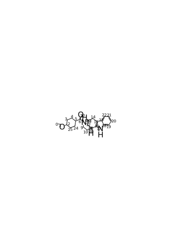 COC1CCC(C(=O)N2CC[C@@H]3C[C@H]2Cc2c3[nH]c3ccccc23)CC1